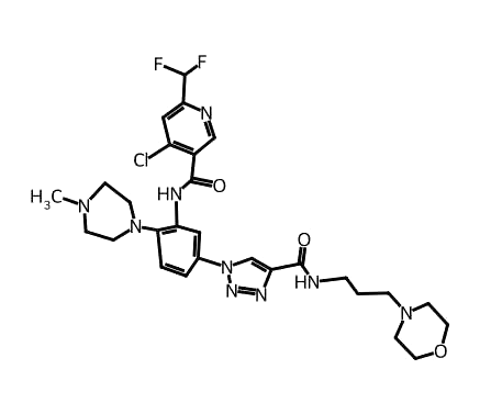 CN1CCN(c2ccc(-n3cc(C(=O)NCCCN4CCOCC4)nn3)cc2NC(=O)c2cnc(C(F)F)cc2Cl)CC1